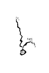 CCCCCCCCCCCCN(CCN)C12CCC(CC1)CC2.Cl